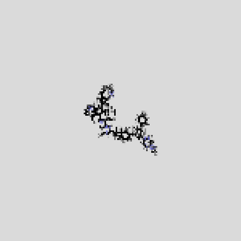 C=C\C=C(/C=C(C)/C(C=C)=C/c1c(C=C)c(/C=C\BC)n(-c2nc(C=C)c(/C=B\C)s2)c1BC)c1nc2ccc(-c3nc(C(/C=C\C=B/C)=C/C)nc(-c4ccccc4)n3)cc2o1